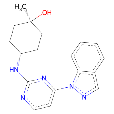 C[C@]1(O)CC[C@H](Nc2nccc(-n3ncc4ccccc43)n2)CC1